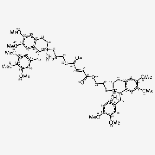 COc1ccc(C[C@@H]2c3cc(OC)c(OC)cc3CC[N+]2(C)CCCOC(=O)/C=C/C(=O)OCCC[N@+]2(C)CCc3cc(OC)c(OC)cc3[C@H]2Cc2cc(OC)c(OC)c(OC)c2)cc1OC